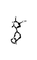 Cc1[nH]c(=O)c(C#N)cc1-c1ccc2nccn2c1